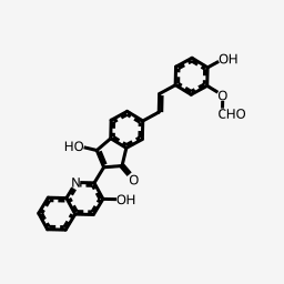 O=COc1cc(/C=C/c2ccc3c(c2)C(=O)C(c2nc4ccccc4cc2O)=C3O)ccc1O